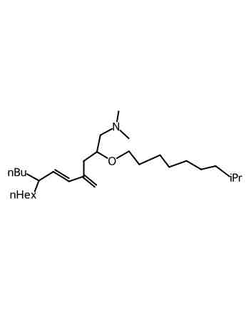 C=C(/C=C/C(CCCC)CCCCCC)CC(CN(C)C)OCCCCCCCC(C)C